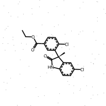 CCOC(=O)c1ccc(Cl)c([C@@]2(C)C(=O)Nc3ccc(Cl)cc32)c1